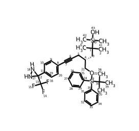 CC(C)(C[C@@H](CC#Cc1ccc(C2(C(F)(F)F)NN2)cc1)CO[Si](c1ccccc1)(c1ccccc1)C(C)(C)C)[Si](C)(C)O